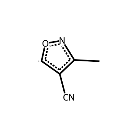 Cc1no[c]c1C#N